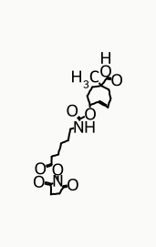 CC1(C(=O)O)CC/C=C/C(OC(=O)NCCCCCC(=O)ON2C(=O)CCC2=O)CC1